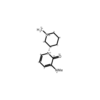 CNc1cccn([C@H]2CCCN(C)C2)c1=O